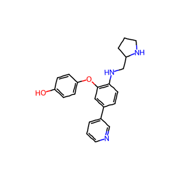 Oc1ccc(Oc2cc(-c3cccnc3)ccc2NCC2CCCN2)cc1